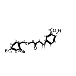 O=C(CNc1cccc(C(=O)O)c1)COCc1ccc(Br)cc1Br